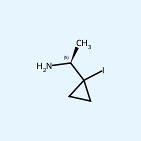 C[C@H](N)C1(I)CC1